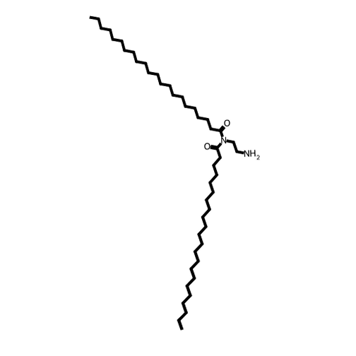 CCCCCCCCCCCCCCCCCCCCCC(=O)N(CCN)C(=O)CCCCCCCCCCCCCCCCCCCCC